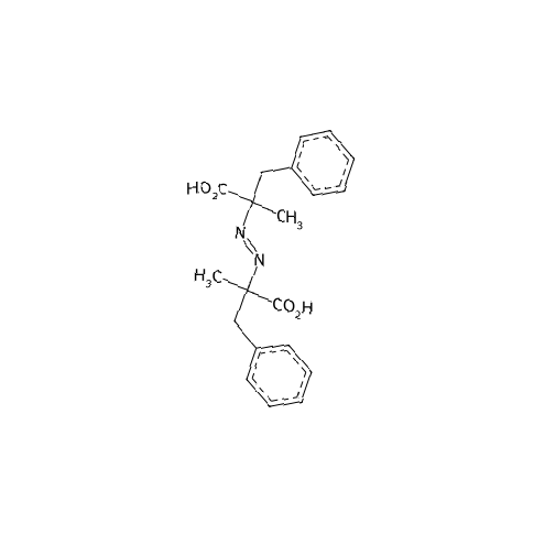 CC(Cc1ccccc1)(/N=N/C(C)(Cc1ccccc1)C(=O)O)C(=O)O